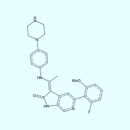 COc1cccc(F)c1-c1cc2c(cn1)NC(=O)C2=C(C)Nc1ccc(N2CCNCC2)cc1